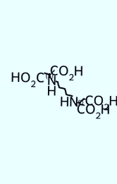 O=C(O)C[C@H](NCCCCCN[C@@H](CC(=O)O)C(=O)O)C(=O)O